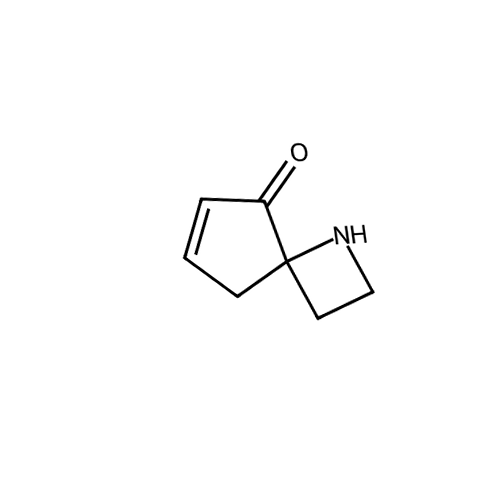 O=C1C=CCC12CCN2